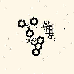 O=S(=O)(Cc1c2ccccc2cc2ccccc12)c1ccc([S+](c2ccccc2)c2ccccc2)cc1.O=S(=O)([O-])C(F)(F)C(F)(F)C(F)(F)C(F)(F)F